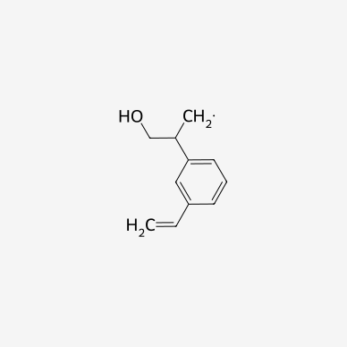 [CH2]C(CO)c1cccc(C=C)c1